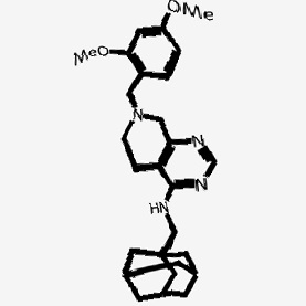 COc1ccc(CN2CCc3c(ncnc3NCC34CC5CC(CC(C5)C3)C4)C2)c(OC)c1